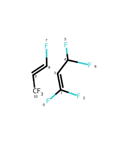 FC(F)=CC(F)F.FC=CC(F)(F)F